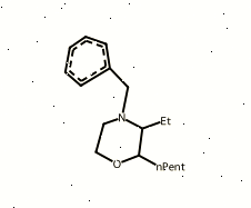 CCCCCC1OCCN(Cc2ccccc2)C1CC